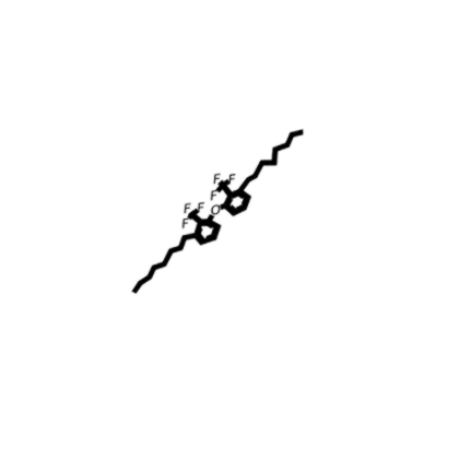 CCCCCCCCc1cccc(Oc2cccc(CCCCCCCC)c2C(F)(F)F)c1C(F)(F)F